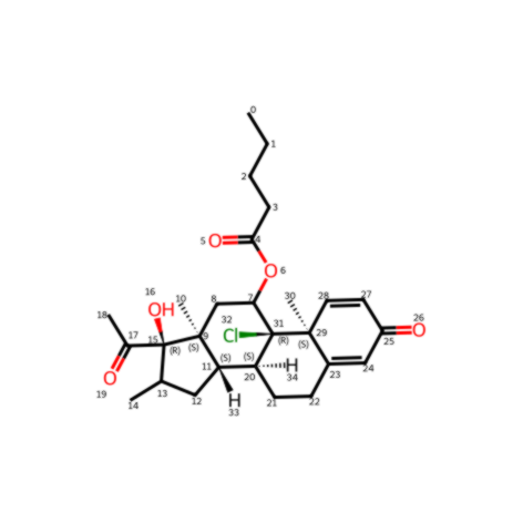 CCCCC(=O)OC1C[C@@]2(C)[C@@H](CC(C)[C@]2(O)C(C)=O)[C@@H]2CCC3=CC(=O)C=C[C@]3(C)[C@@]12Cl